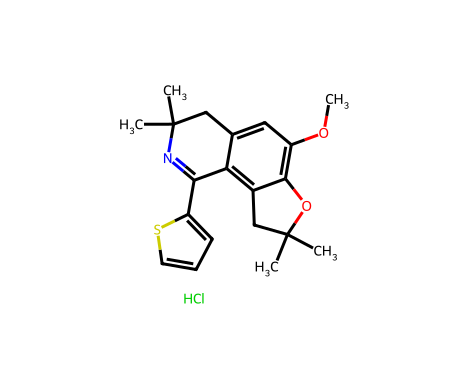 COc1cc2c(c3c1OC(C)(C)C3)C(c1cccs1)=NC(C)(C)C2.Cl